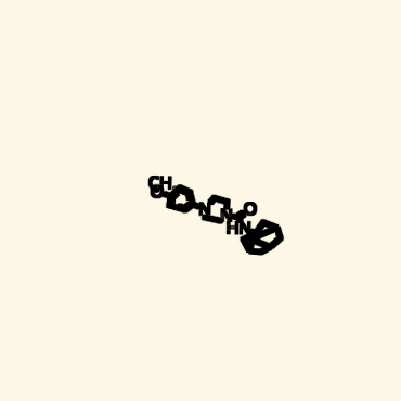 COc1ccc(N2CCN(C(=O)NC34CC5CC(CC(C5)C3)C4)CC2)cc1